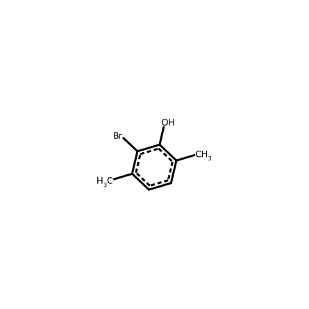 Cc1ccc(C)c(Br)c1O